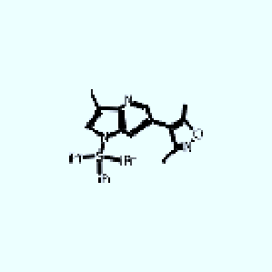 Cc1noc(C)c1-c1cnc2c(I)cn(S(C(C)C)(C(C)C)C(C)C)c2c1